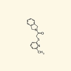 Cc1cccc(SCC(=O)N2Cc3ccccc3C2)n1